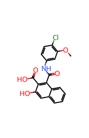 COc1cc(NC(=O)c2c(C(=O)O)c(O)cc3ccccc23)ccc1Cl